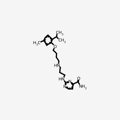 Cc1ccc(C(C)C)c(OCCCCNCCCNc2nccc(C(N)=O)n2)c1